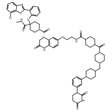 CNC(=O)C1(Oc2ccccc2-c2nc3cccc(Cl)c3s2)CCN(C(=O)[C@H]2CC(=O)Nc3ccc(OCCNC(=O)C4CCC(C(=O)N5CCN(CC6CCN(c7cccc(C8CCC(=O)NC8=O)c7)CC6)CC5)CC4)cc32)CC1